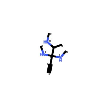 [C]#CC(NC)(NC)C(C)NC